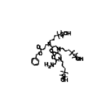 CC(C)(CCCN(CCC(=O)OCc1ccccc1)C(=O)CN(CCCC(C)(C)[Si](C)(C)O)C(=O)CN(CCCC(C)(C)[Si](C)(C)O)C(=O)CN)[Si](C)(C)O